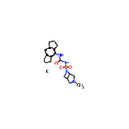 CN1CC2CN(S(=O)(=O)NC(=O)Nc3c4c(cc5c3CCC5)CCC4)C2C1.[K]